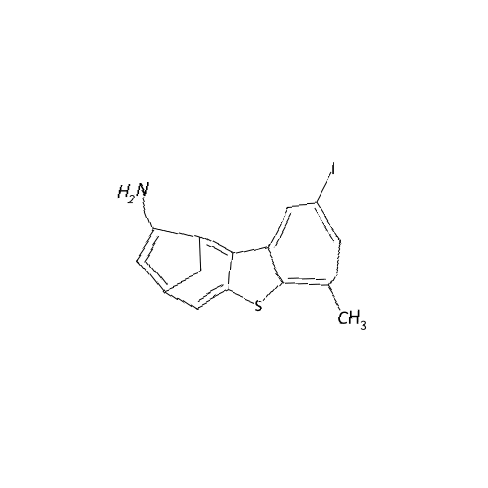 Cc1cc(I)cc2c3c(sc12)=CC1=C=C(N)C=3C1